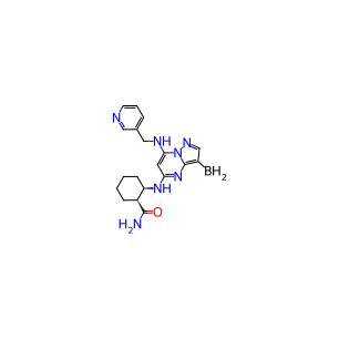 Bc1cnn2c(NCc3cccnc3)cc(N[C@@H]3CCCC[C@@H]3C(N)=O)nc12